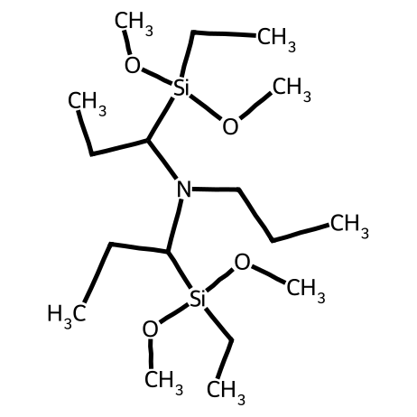 CCCN(C(CC)[Si](CC)(OC)OC)C(CC)[Si](CC)(OC)OC